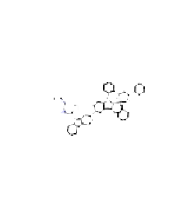 C=C(/C=C\C=C/C)n1c2ccccc2c2ccc(-c3ccc4c(c3)c3ccccc3n4-c3ccccc3-c3cc(-c4ccccc4)nc(-c4ccccc4)n3)cc21